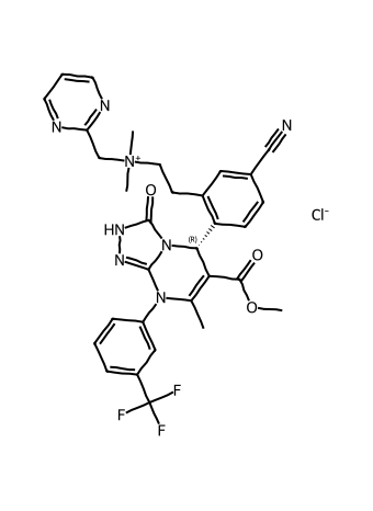 COC(=O)C1=C(C)N(c2cccc(C(F)(F)F)c2)c2n[nH]c(=O)n2[C@@H]1c1ccc(C#N)cc1CC[N+](C)(C)Cc1ncccn1.[Cl-]